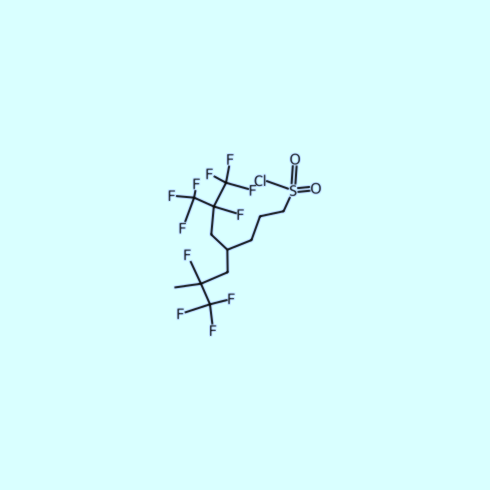 CC(F)(CC(CCCS(=O)(=O)Cl)CC(F)(C(F)(F)F)C(F)(F)F)C(F)(F)F